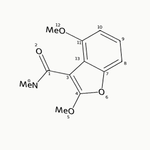 CNC(=O)c1c(OC)oc2cccc(OC)c12